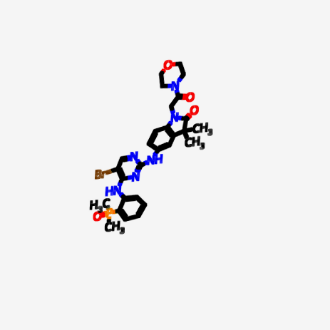 CC1(C)C(=O)N(CC(=O)N2CCOCC2)c2ccc(Nc3ncc(Br)c(Nc4ccccc4P(C)(C)=O)n3)cc21